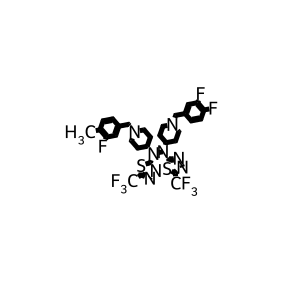 Cc1ccc(CN2CCC(N(c3nnc(C(F)(F)F)s3)N(c3nnc(C(F)(F)F)s3)C3CCN(Cc4ccc(F)c(F)c4)CC3)CC2)cc1F